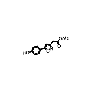 COC(=O)Cc1cc(-c2ccc(O)cc2)on1